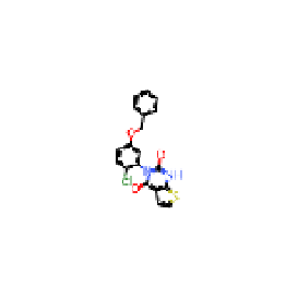 O=c1[nH]c2sccc2c(=O)n1-c1cc(OCc2ccccc2)ccc1Cl